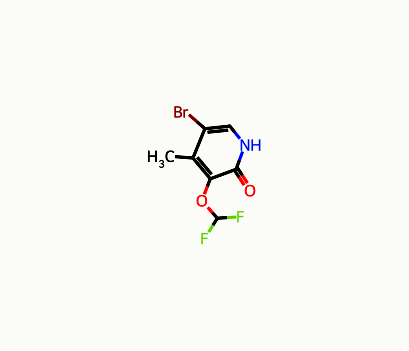 Cc1c(Br)c[nH]c(=O)c1OC(F)F